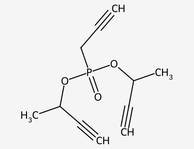 C#CCP(=O)(OC(C)C#C)OC(C)C#C